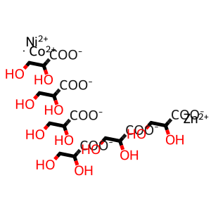 O=C([O-])C(O)CO.O=C([O-])C(O)CO.O=C([O-])C(O)CO.O=C([O-])C(O)CO.O=C([O-])C(O)CO.O=C([O-])C(O)CO.[Co+2].[Ni+2].[Zn+2]